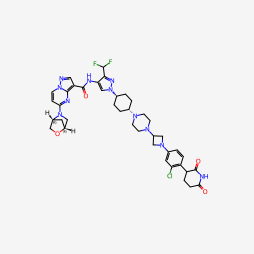 O=C1CCC(c2ccc(N3CC(N4CCN([C@H]5CC[C@H](n6cc(NC(=O)c7cnn8ccc(N9C[C@H]%10C[C@@H]9CO%10)nc78)c(C(F)F)n6)CC5)CC4)C3)cc2Cl)C(=O)N1